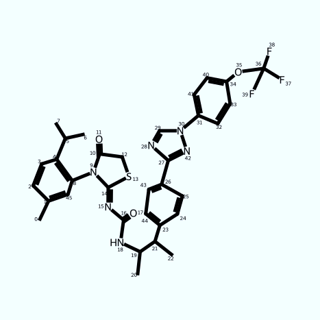 Cc1ccc(C(C)C)c(N2C(=O)CS/C2=N\C(=O)NC(C)C(C)c2ccc(-c3ncn(-c4ccc(OC(F)(F)F)cc4)n3)cc2)c1